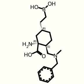 CN(Cc1ccccc1)C[C@@H]1CC[C@@H](CCB(O)O)C[C@]1(N)C(=O)O